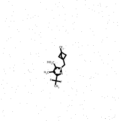 Cc1c(C(C)(F)F)nn(CC23CC(C(F)(F)F)(C2)C3)c1C(=O)O